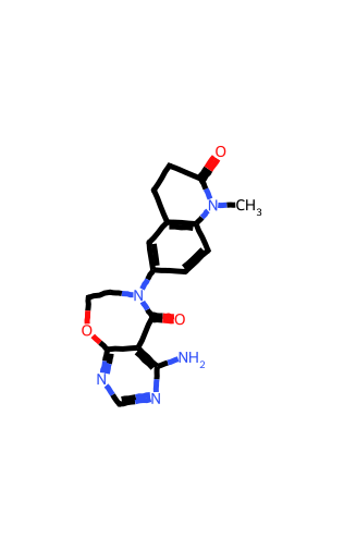 CN1C(=O)CCc2cc(N3CCOc4ncnc(N)c4C3=O)ccc21